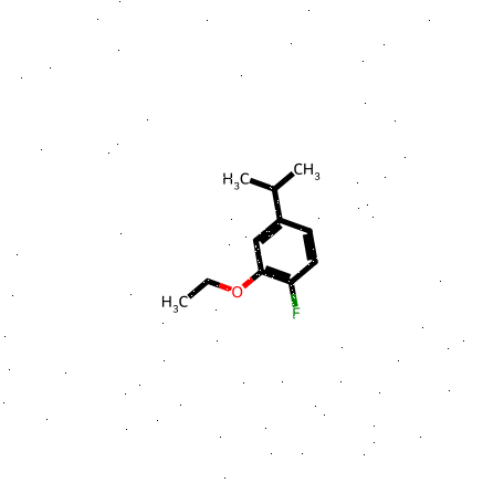 CCOc1cc(C(C)C)ccc1F